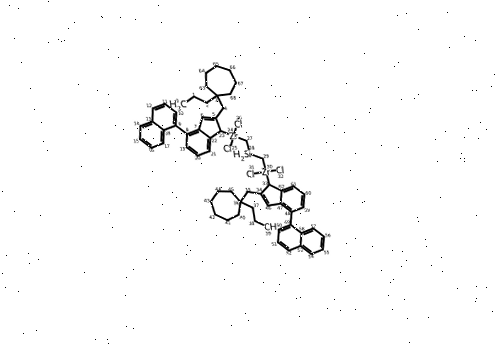 CCCC1(CC2=Cc3c(-c4cccc5ccccc45)cccc3[CH]2[Zr]([Cl])([Cl])[CH2][SiH2][CH2][Zr]([Cl])([Cl])[CH]2C(CC3(CCC)CCCCCC3)=Cc3c(-c4cccc5ccccc45)cccc32)CCCCCC1